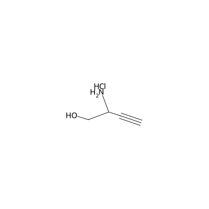 C#CC(N)CO.Cl